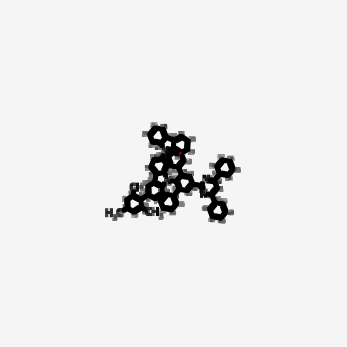 Cc1cc(C)c(-c2ccc3c(c2)c2ccc(-n4c5ccccc5c5ccccc54)cc2n3-c2c(-c3ccccc3)cc(-c3nc(-c4ccccc4)cc(-c4ccccc4)n3)cc2-c2ccccc2)c(C)c1